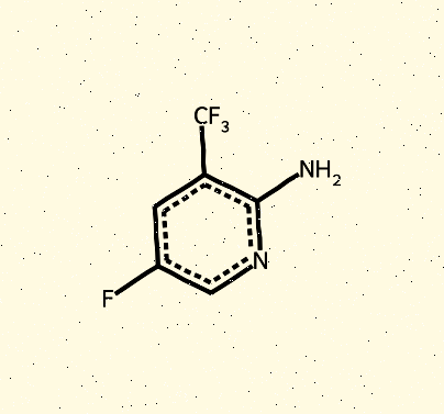 Nc1ncc(F)cc1C(F)(F)F